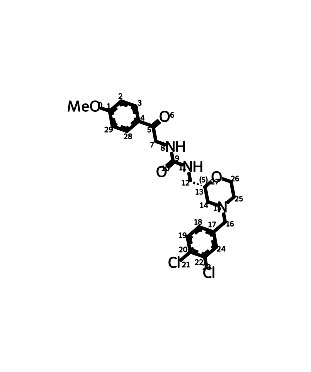 COc1ccc(C(=O)CNC(=O)NC[C@H]2CN(Cc3ccc(Cl)c(Cl)c3)CCO2)cc1